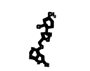 CCc1cc2c(OCc3cc(-c4ccc(C)cc4Cl)no3)ncnc2s1